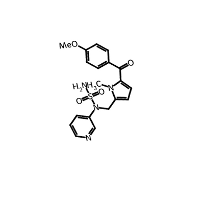 COc1ccc(C(=O)c2ccc(CN(c3cccnc3)S(N)(=O)=O)n2C)cc1